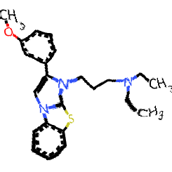 CCN(CC)CCCN1C(c2cccc(OC)c2)=CN2c3ccccc3SC12